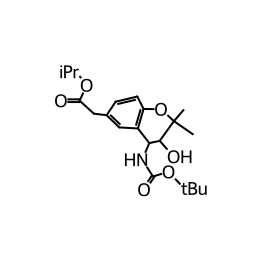 CC(C)OC(=O)Cc1ccc2c(c1)C(NC(=O)OC(C)(C)C)C(O)C(C)(C)O2